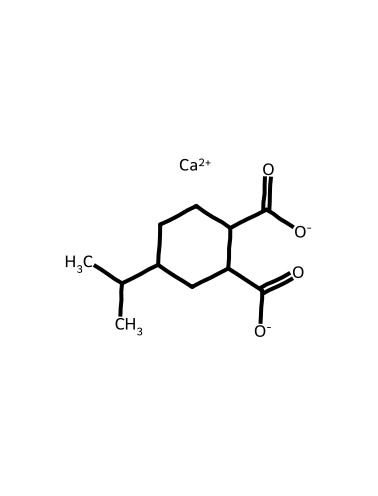 CC(C)C1CCC(C(=O)[O-])C(C(=O)[O-])C1.[Ca+2]